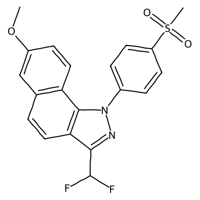 COc1ccc2c(ccc3c(C(F)F)nn(-c4ccc(S(C)(=O)=O)cc4)c32)c1